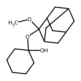 COC1(OC2(O)CCCCC2)C2CC3CC(C2)CC1C3